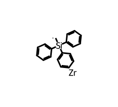 [CH2][Si](c1ccccc1)(c1ccccc1)c1ccccc1.[Zr]